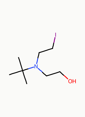 CC(C)(C)N(CCO)CCI